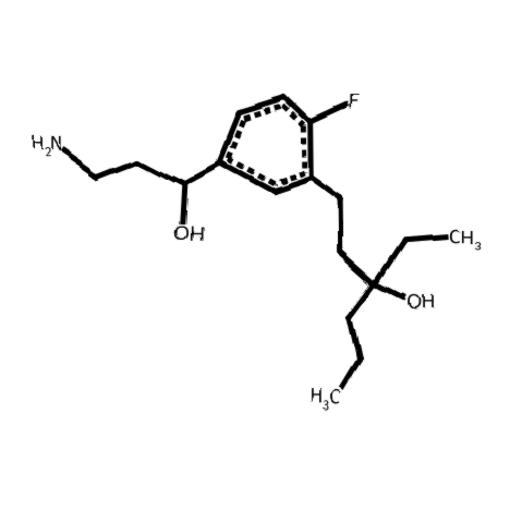 CCCC(O)(CC)CCc1cc(C(O)CCN)ccc1F